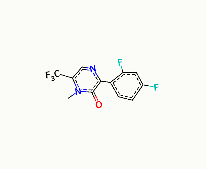 Cn1c(C(F)(F)F)cnc(-c2ccc(F)cc2F)c1=O